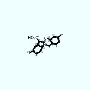 Cc1ccc(Cn2nc(C(=O)O)c3cc(I)ccc32)c(Cl)c1